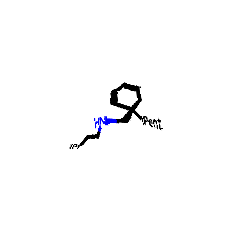 CCCC(C)C1(CNCCC(C)C)C=CC=[C]C1